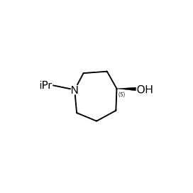 CC(C)N1CCC[C@H](O)CC1